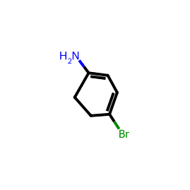 NC1=CC=C(Br)CC1